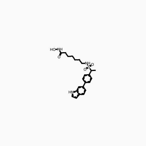 CC(c1ccc(-c2ccc3cc[nH]c3c2)cc1)S(=O)(=O)NCCCCCCC(=O)NO